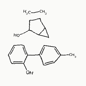 CC.Cc1ccc(-c2ccccc2O)cc1.OC1CCC2CC12